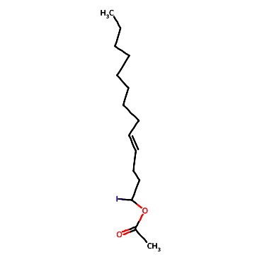 CCCCCCCCC=CCCC(I)OC(C)=O